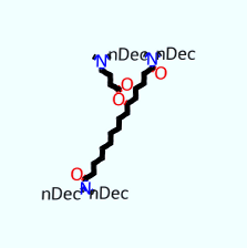 CCCCCCCCCCN(CCCCCCCCCC)C(=O)CCCCCCCCCC(CCCCC(=O)N(CCCCCCCCCC)CCCCCCCCCC)OC(=O)CCCN(C)C